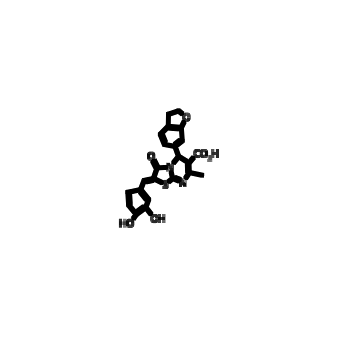 CC1=C(C(=O)O)C(c2ccc3c(c2)OCC3)n2c(s/c(=C\c3ccc(O)c(O)c3)c2=O)=N1